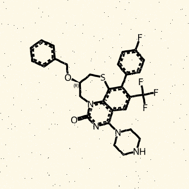 O=c1nc(N2CCNCC2)c2cc(C(F)(F)F)c(-c3ccc(F)cc3)c3c2n1C[C@@H](OCc1ccccc1)CS3